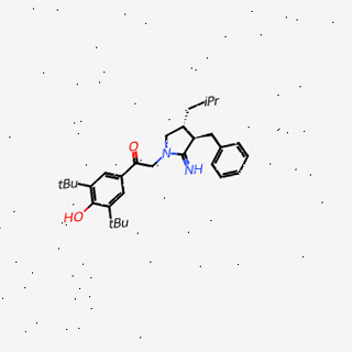 CC(C)C[C@H]1CN(CC(=O)c2cc(C(C)(C)C)c(O)c(C(C)(C)C)c2)C(=N)[C@@H]1Cc1ccccc1